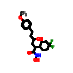 O=C(NO)C(CC(O)[CH]Cc1ccc(OC(F)(F)F)cc1)C1CCC(F)(F)CC1